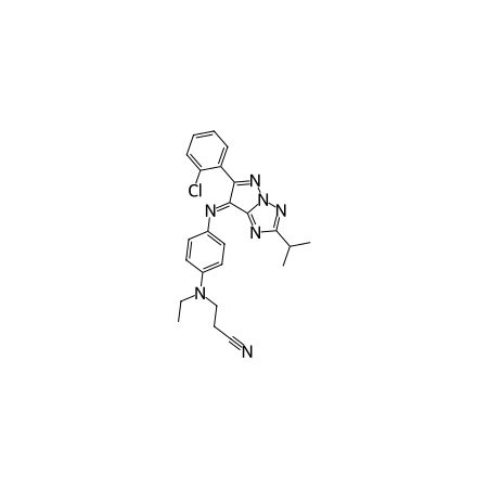 CCN(CCC#N)c1ccc(/N=C2/C(c3ccccc3Cl)=Nn3nc(C(C)C)nc32)cc1